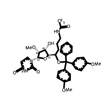 COc1ccc(C(OC(CCCNC(=O)C(F)(F)F)[C@H]2O[C@H](n3ccc(=O)[nH]c3=O)[C@H](OC)[C@@H]2O)(c2ccccc2)c2ccc(OC)cc2)cc1